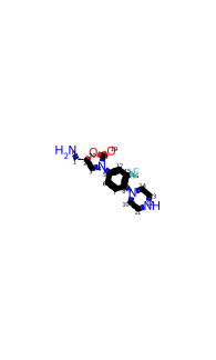 NC[C@H]1CN(c2ccc(N3CCNCC3)c(F)c2)C(=O)O1